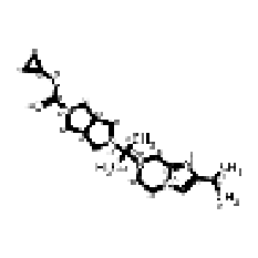 CC(C)c1cn2c(n1)CN(C(C)(C)N1CC3CN(C(=O)OC4CC4)CC3C1)CC2